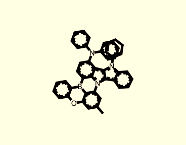 Cc1cc2c3c(c1)-n1c4c(ccc(N(c5c#cccc5)c5ccccc5)c4c4c1c1ccccc1n4C1=CCCC=C1)B3c1ccccc1O2